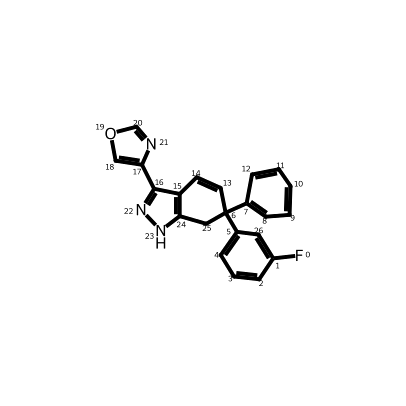 Fc1cccc(C2(c3ccccc3)C=Cc3c(-c4cocn4)n[nH]c3C2)c1